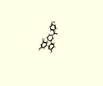 Cc1ccc([C@@H]2CN(C(C)c3ccc(C#N)cc3)CCN2c2ccc(C)cc2Cl)cc1